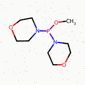 COP(N1CCOCC1)N1CCOCC1